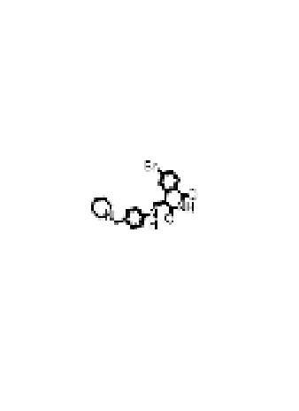 O=C1NC(=O)c2ccc(Br)cc2/C1=C/Nc1ccc(CN2CCCCC2)cc1